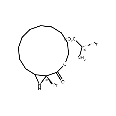 CC(C)[C@@]12NC1CCCCCCCCCCOC2=O.CC(C)[C@H](N)C(=O)O